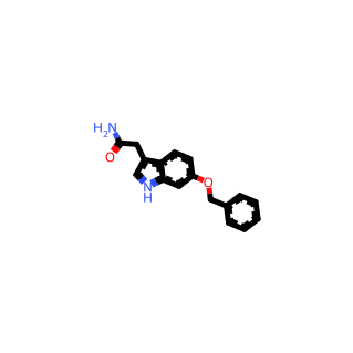 NC(=O)Cc1c[nH]c2cc(OCc3ccccc3)ccc12